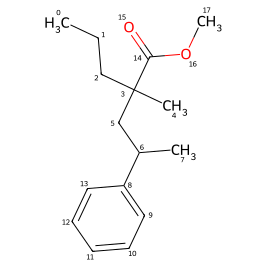 CCCC(C)(CC(C)c1ccccc1)C(=O)OC